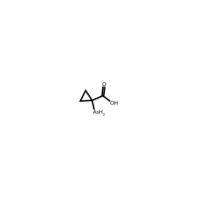 O=C(O)C1([AsH2])CC1